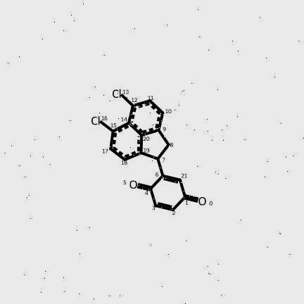 O=C1C=CC(=O)C(C2Cc3ccc(Cl)c4c(Cl)ccc2c34)=C1